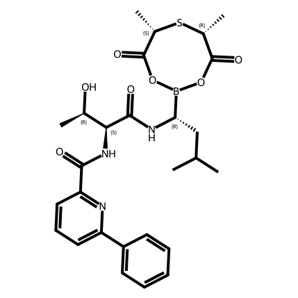 CC(C)C[C@H](NC(=O)[C@@H](NC(=O)c1cccc(-c2ccccc2)n1)[C@@H](C)O)B1OC(=O)[C@H](C)S[C@H](C)C(=O)O1